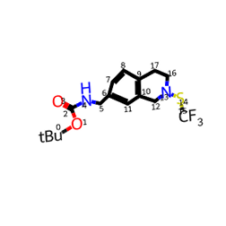 CC(C)(C)OC(=O)NCc1ccc2c(c1)CN(SC(F)(F)F)CC2